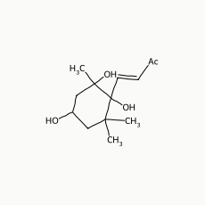 CC(=O)/C=C/C1(O)C(C)(C)CC(O)CC1(C)O